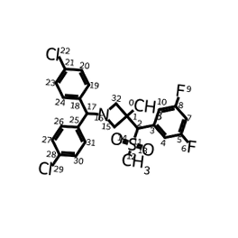 CC1(C(c2cc(F)cc(F)c2)S(C)(=O)=O)CN(C(c2ccc(Cl)cc2)c2ccc(Cl)cc2)C1